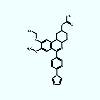 CCOc1cc2c(cc1OC)C(c1ccc(-n3ccnc3)nc1)=NC1CCC(OC(C)=O)CC21